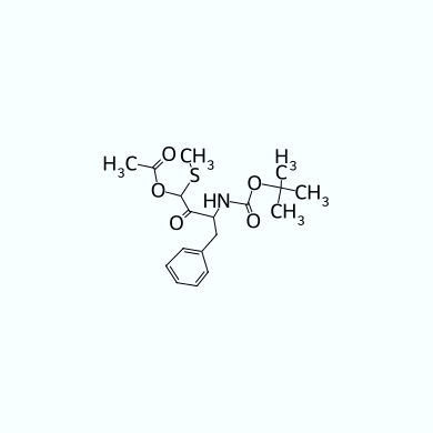 CSC(OC(C)=O)C(=O)C(Cc1ccccc1)NC(=O)OC(C)(C)C